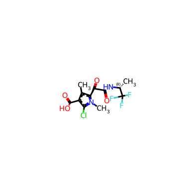 Cc1c(C(=O)O)c(Cl)n(C)c1C(=O)C(=O)N[C@H](C)C(F)(F)F